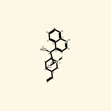 C=CC1C[N+]2(C)CCC1CC2[C@@H](O)c1ccnc2ccccc12